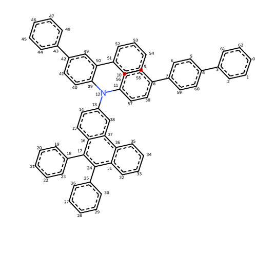 c1ccc(-c2ccc(-c3ccc(N(c4ccc5c(-c6ccccc6)c(-c6ccccc6)c6ccccc6c5c4)c4ccc(-c5ccccc5)cc4-c4ccccc4)cc3)cc2)cc1